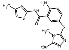 Cc1csc(NC(=O)c2cc(Sc3nnc(C(C)(C)C)n3C)ccc2N)n1